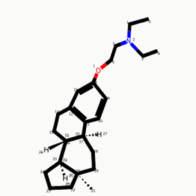 CCN(CC)CCOc1ccc2c(c1)CC[C@@H]1[C@@H]2CC[C@@]2(C)CCC[C@@H]12